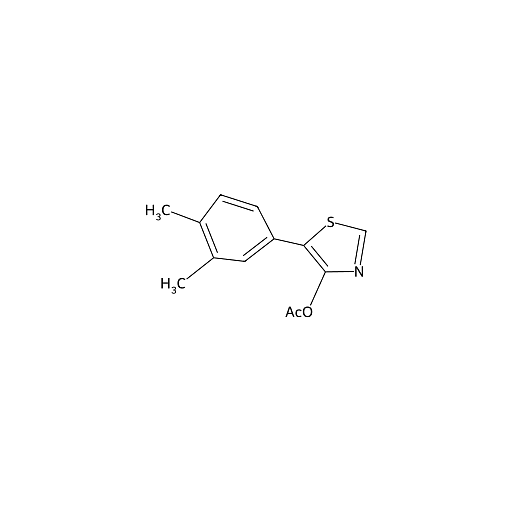 CC(=O)Oc1ncsc1-c1ccc(C)c(C)c1